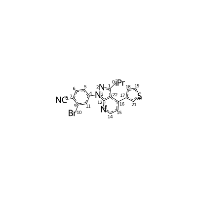 CC(C)c1nn(-c2ccc(C#N)c(Br)c2)c2nccc(-c3ccsc3)c12